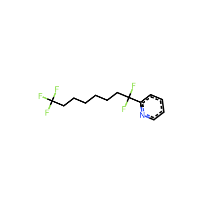 FC(F)(F)CCCCCCC(F)(F)c1ccccn1